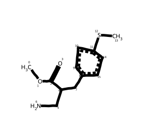 COC(=O)C(CN)Cc1ccc(SC)cc1